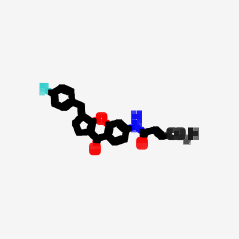 O=C(O)/C=C/C(=O)Nc1ccc2c(=O)c3c(oc2c1)C(=Cc1ccc(F)cc1)CC3